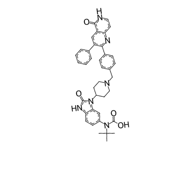 CC(C)(C)N(C(=O)O)c1ccc2[nH]c(=O)n(C3CCN(Cc4ccc(-c5nc6cc[nH]c(=O)c6cc5-c5ccccc5)cc4)CC3)c2c1